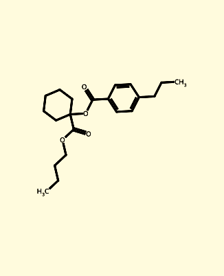 CCCCOC(=O)C1(OC(=O)c2ccc(CCC)cc2)CCCCC1